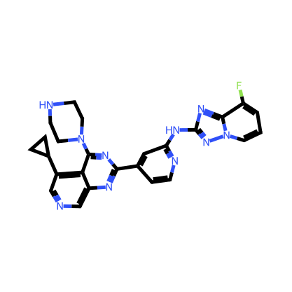 Fc1cccn2nc(Nc3cc(-c4nc(N5CCNCC5)c5c(C6CC6)cncc5n4)ccn3)nc12